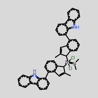 CC1=Cc2c(-c3cccc4c3[nH]c3ccccc34)cccc2[CH]1[Zr]([Cl])([Cl])([CH]1C(C)=Cc2c(-c3cccc4c3[nH]c3ccccc34)cccc21)=[Si](C)C